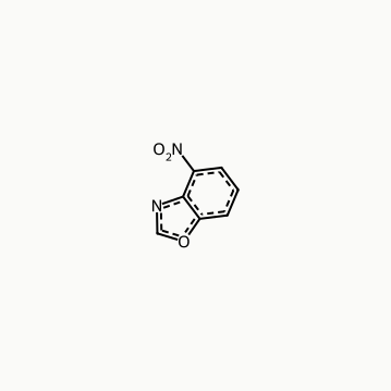 O=[N+]([O-])c1cccc2ocnc12